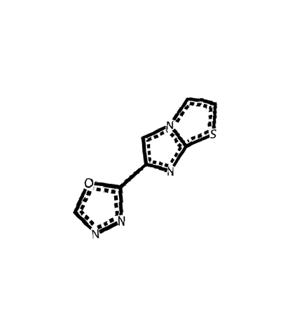 c1nnc(-c2cn3ccsc3n2)o1